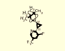 CC1(C)OB([C@H]2C[C@@H]2c2ncc(C(F)(F)F)cc2F)OC1(C)C